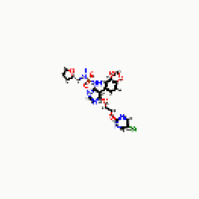 O=S(=O)(NC[C@@H]1CCCO1)Nc1ncnc(OCCOc2ncc(Br)cn2)c1-c1ccc2c(c1)OCO2